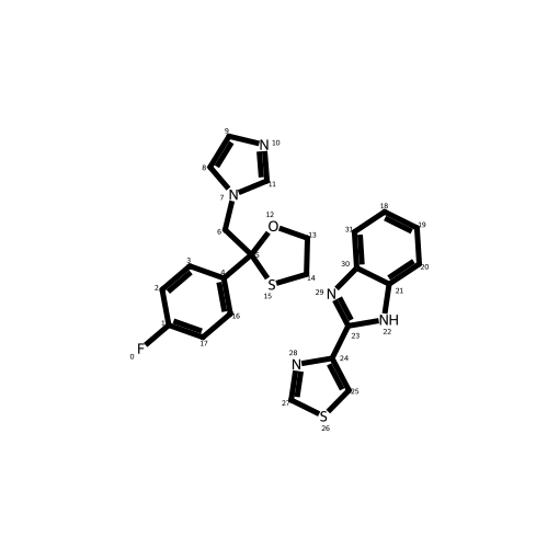 Fc1ccc(C2(Cn3ccnc3)OCCS2)cc1.c1ccc2[nH]c(-c3cscn3)nc2c1